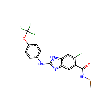 CSNC(=O)c1cc2nc(Nc3ccc(OC(F)(F)F)cc3)[nH]c2cc1F